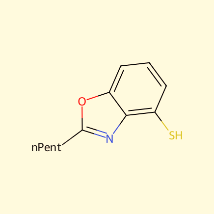 CCCCCc1nc2c(S)cccc2o1